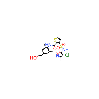 Cc1cc(CCO)cc(C)c1NC(=O)c1sccc1S(=O)(=O)Nc1onc(C)c1Cl